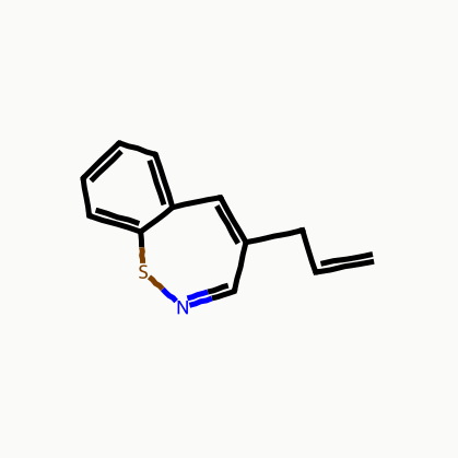 C=CCC1=Cc2ccccc2SN=C1